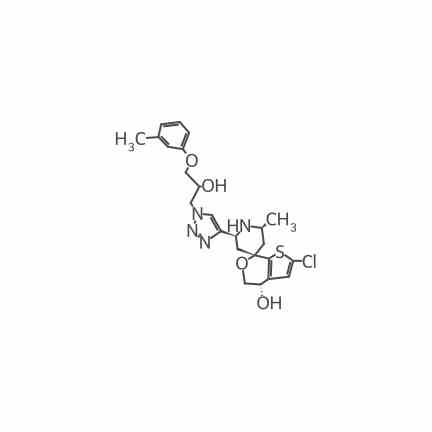 Cc1cccc(OCC(O)Cn2cc([C@@H]3C[C@]4(C[C@H](C)N3)OC[C@@H](O)c3cc(Cl)sc34)nn2)c1